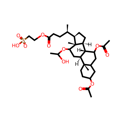 CC(=O)OC1CC[C@@]2(C)C(C1)CC(OC(C)=O)[C@H]1[C@@H]3CC[C@H]([C@H](C)CCC(=O)OCCS(=O)(=O)O)[C@@]3(C)C(OC(C)O)C[C@@H]12